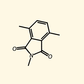 Cc1ccc(C)c2c1C(=O)N(C)C2=O